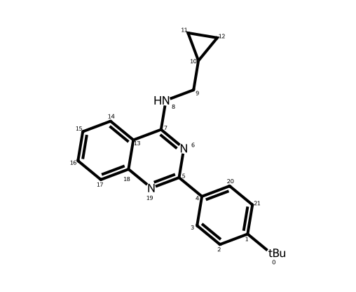 CC(C)(C)c1ccc(-c2nc(NCC3CC3)c3ccccc3n2)cc1